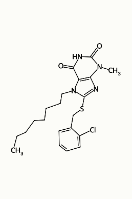 CCCCCCCCn1c(SCc2ccccc2Cl)nc2c1c(=O)[nH]c(=O)n2C